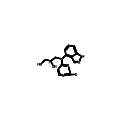 OC[C@H](O)CN(c1ccnc(Cl)n1)c1cccc2[nH]ncc12